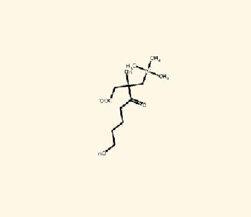 C[N+](C)(C)CC(O)(CC(=O)[O-])C(=O)CCCCO